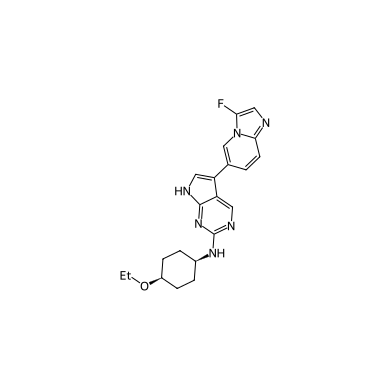 CCO[C@H]1CC[C@@H](Nc2ncc3c(-c4ccc5ncc(F)n5c4)c[nH]c3n2)CC1